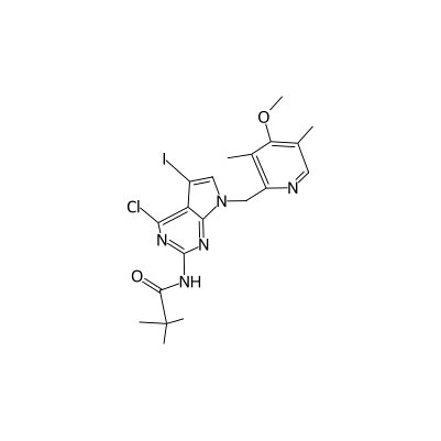 COc1c(C)cnc(Cn2cc(I)c3c(Cl)nc(NC(=O)C(C)(C)C)nc32)c1C